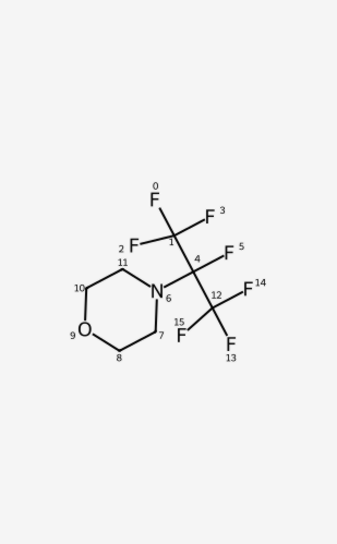 FC(F)(F)C(F)(N1CCOCC1)C(F)(F)F